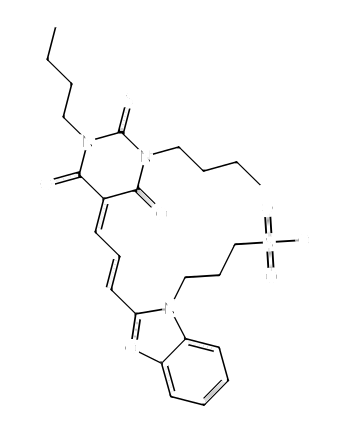 CCCCN1C(=O)C(=C/C=C/c2[o+]c3ccccc3n2CCCS(=O)(=O)[O-])C(=O)N(CCCC)C1=S